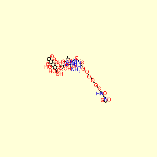 COc1cccc2c1C(=O)c1c(O)c3c(c(O)c1C2=O)C[C@@](O)(C(=O)CO)C[C@@H]3O[C@H]1C[C@H](NC(=O)[C@H](CC(C)C)NC(=O)[C@H](CC(N)=O)NC(=O)[C@H](C)NC(=O)[C@H](C)NC(=O)CCOCCOCCOCCOCCOCCOCCNC(=O)CCN2C(=O)C=CC2=O)[C@H](O)[C@H](C)O1